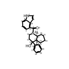 O=C(c1cccc2[nH]ccc12)N1CCC(O)(c2ccccc2)[C@H]2CCCC[C@@H]21